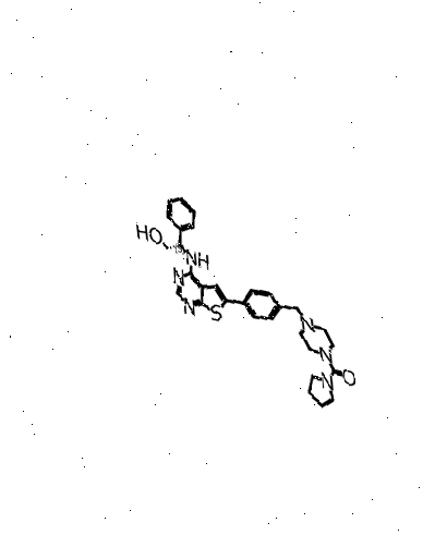 O=C(N1CCCC1)N1CCN(Cc2ccc(-c3cc4c(N[C@H](CO)c5ccccc5)ncnc4s3)cc2)CC1